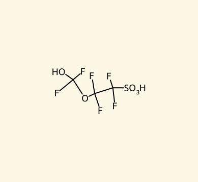 O=S(=O)(O)C(F)(F)C(F)(F)OC(O)(F)F